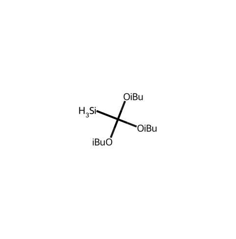 CC(C)COC([SiH3])(OCC(C)C)OCC(C)C